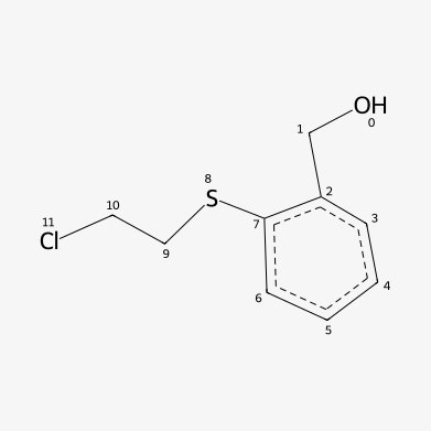 OCc1ccccc1SCCCl